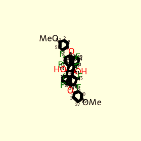 COc1ccc(Oc2c(F)c(F)c(C(O)(c3ccccc3)C(O)(c3ccccc3)c3c(F)c(F)c(Oc4ccc(OC)cc4)c(F)c3F)c(F)c2F)cc1